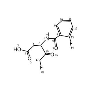 O=C(O)CC(NC(=O)c1ccccc1F)C(=O)CF